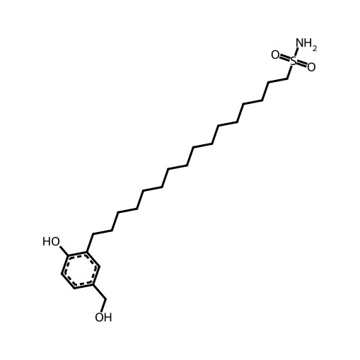 NS(=O)(=O)CCCCCCCCCCCCCCCCc1cc(CO)ccc1O